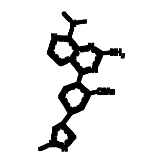 COc1cc(-c2cnn(C)c2)ccc1-c1nc(N)nc2c(N(C)C)nccc12